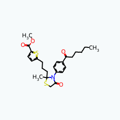 CCCCCC(=O)c1ccc(N2C(=O)CSC2(C)CCCc2ccc(C(=O)OC)s2)cc1